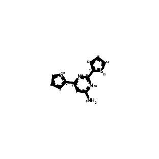 Nc1cc(-c2cccs2)nc(-c2cccs2)n1